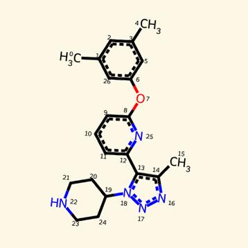 Cc1cc(C)cc(Oc2cccc(-c3c(C)nnn3C3CCNCC3)n2)c1